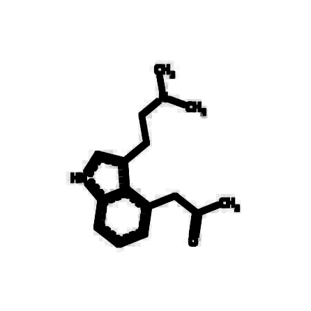 CC(=O)Cc1cccc2[nH]cc(CCN(C)C)c12